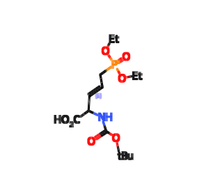 CCOP(=O)(C/C=C/C(NC(=O)OC(C)(C)C)C(=O)O)OCC